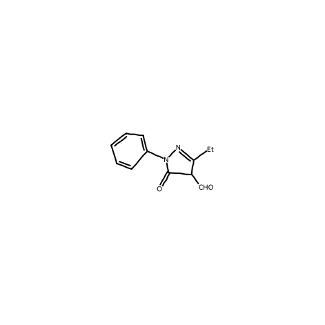 CCC1=NN(c2ccccc2)C(=O)C1C=O